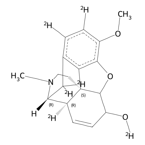 [2H]OC1C=C[C@@]2([2H])[C@@H]3N(C)CC[C@@]24c2c(c(OC)c([2H])c([2H])c2C3([2H])[2H])OC14